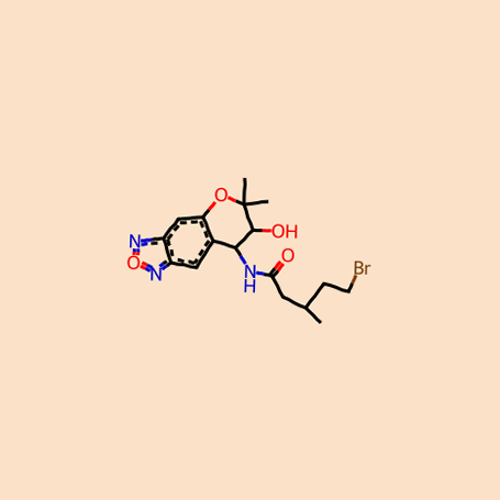 CC(CCBr)CC(=O)NC1c2cc3nonc3cc2OC(C)(C)C1O